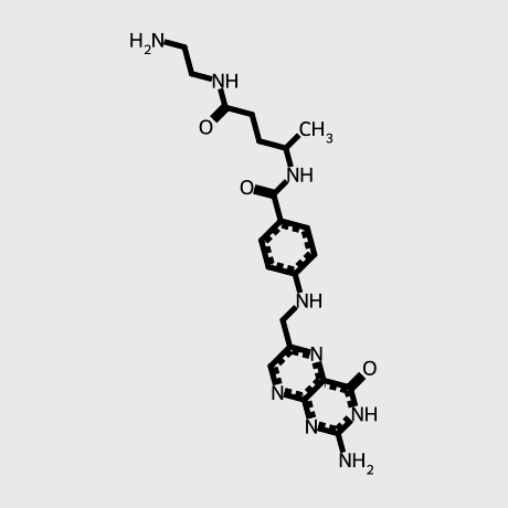 CC(CCC(=O)NCCN)NC(=O)c1ccc(NCc2cnc3nc(N)[nH]c(=O)c3n2)cc1